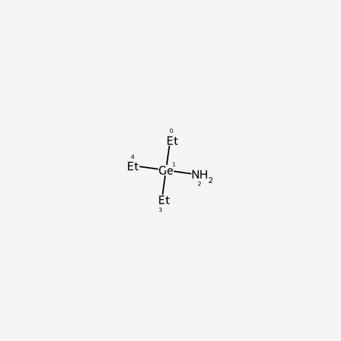 C[CH2][Ge]([NH2])([CH2]C)[CH2]C